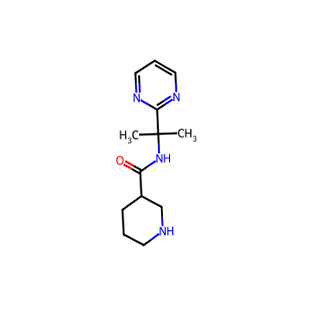 CC(C)(NC(=O)C1CCCNC1)c1ncccn1